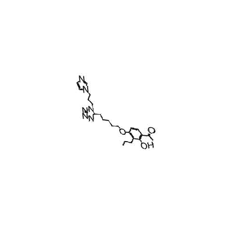 CCCc1c(OCCCCCc2nnnn2CCCn2ccnc2)ccc(C(C)=O)c1O